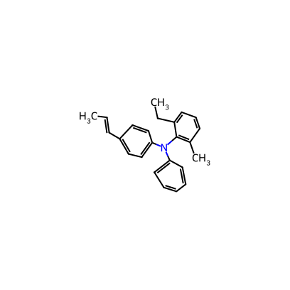 CC=Cc1ccc(N(c2ccccc2)c2c(C)cccc2CC)cc1